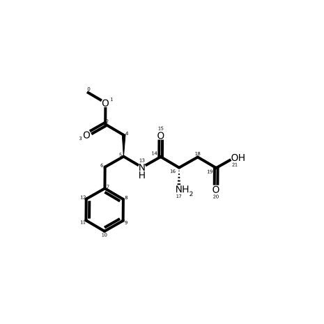 COC(=O)C[C@H](Cc1ccccc1)NC(=O)[C@@H](N)CC(=O)O